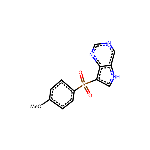 COc1ccc(S(=O)(=O)c2c[nH]c3cncnc23)cc1